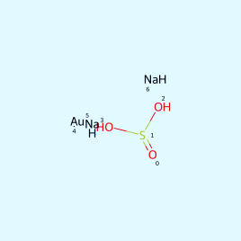 O=S(O)O.[Au].[NaH].[NaH]